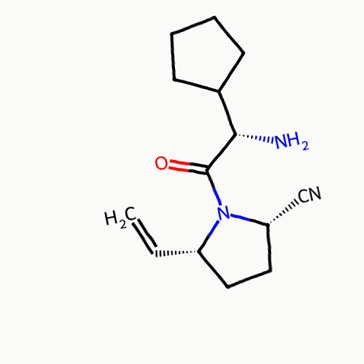 C=C[C@H]1CC[C@@H](C#N)N1C(=O)[C@@H](N)C1CCCC1